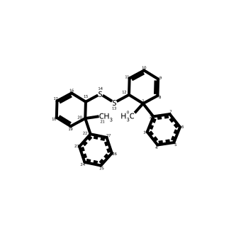 CC1(c2ccccc2)C=CC=CC1SSC1C=CC=CC1(C)c1ccccc1